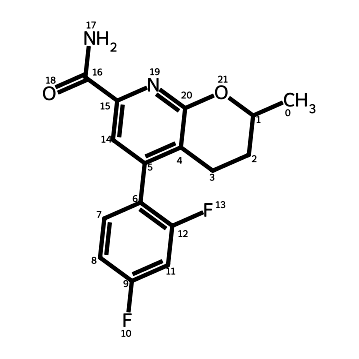 CC1CCc2c(-c3ccc(F)cc3F)cc(C(N)=O)nc2O1